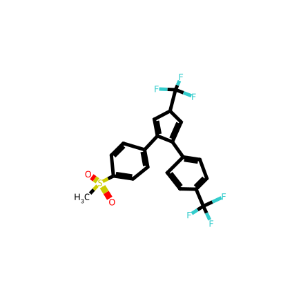 CS(=O)(=O)c1ccc(C2=CC(C(F)(F)F)C=C2c2ccc(C(F)(F)F)cc2)cc1